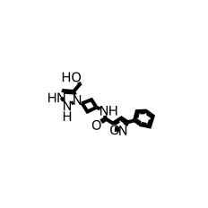 O=C(NC1CC(N2NNC=C2CO)C1)c1cc(-c2ccccc2)no1